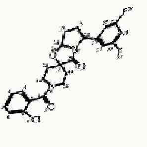 O=C(c1ccccc1Cl)N1CCC2(CC1)OC1CCC(c3cc(F)cc(F)c3)N1C2=O